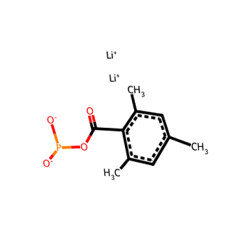 Cc1cc(C)c(C(=O)OP([O-])[O-])c(C)c1.[Li+].[Li+]